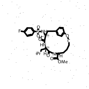 COC(=O)[C@@H]1CCCCOc2ccc(cc2)C[C@H](NS(=O)(=O)c2ccc(F)cc2)C(=O)N[C@@H](CC(C)C)C(=O)N1